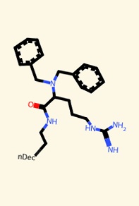 CCCCCCCCCCCCNC(=O)C(CCCNC(=N)N)N(Cc1ccccc1)Cc1ccccc1